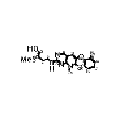 CS[C@H](CO)CCNc1ncc2cc(Oc3ccccc3F)c(=O)n(C)c2n1